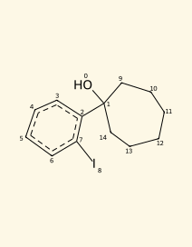 OC1(c2ccccc2I)CCCCCC1